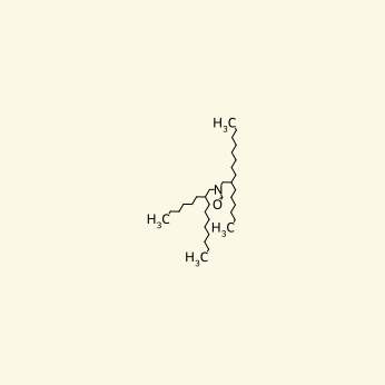 CCCCCCCCC(CCCCCC)CN(C=O)CC(CCCCCC)CCCCCCCC